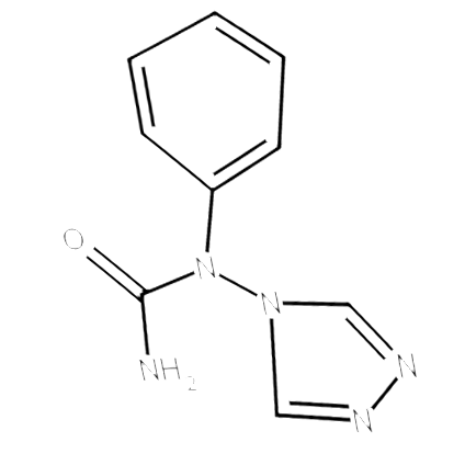 NC(=O)N(c1ccccc1)n1cnnc1